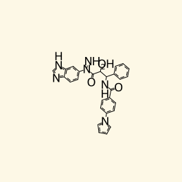 NN(C(=O)C(O)C(NC(=O)c1ccc(-n2cccc2)cc1)c1ccccc1)c1ccc2nc[nH]c2c1